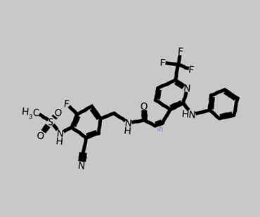 CS(=O)(=O)Nc1c(F)cc(CNC(=O)/C=C\c2ccc(C(F)(F)F)nc2Nc2ccccc2)cc1C#N